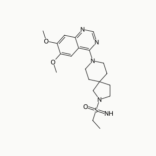 CCS(=N)(=O)N1CCC2(CCN(c3ncnc4cc(OC)c(OC)cc34)CC2)C1